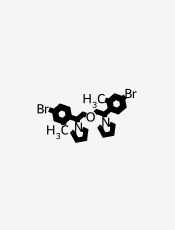 Cc1cc(Br)ccc1C(COCC(c1ccc(Br)cc1C)N1CCCC1)N1CCCC1